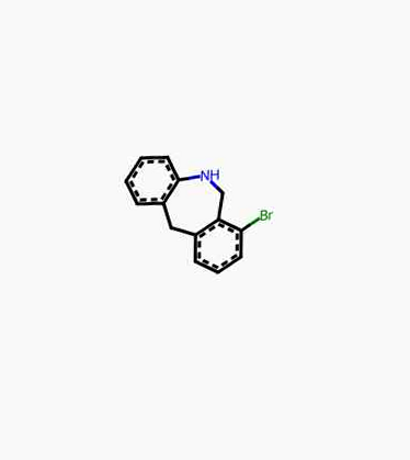 Brc1cccc2c1CNc1ccccc1C2